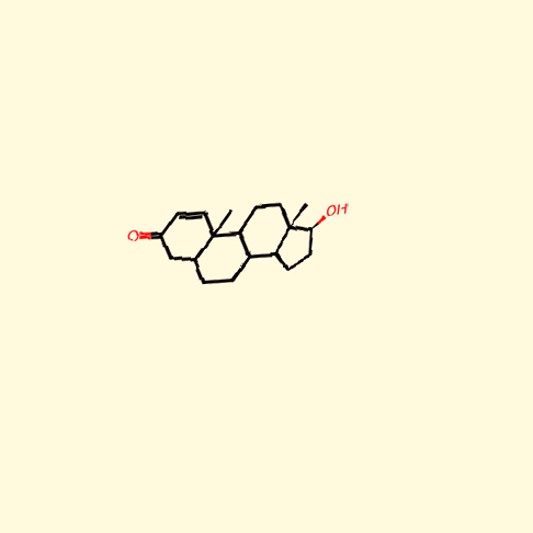 CC12C=CC(=O)CC1CCC1C2CC[C@@]2(C)C1CC[C@@H]2O